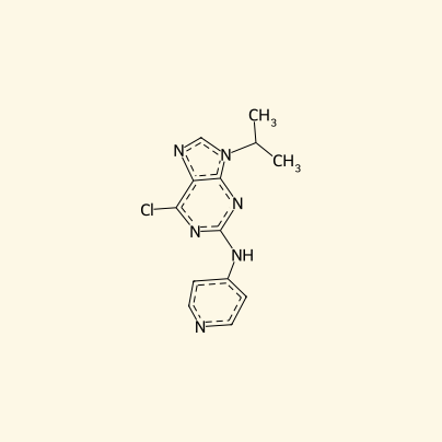 CC(C)n1cnc2c(Cl)nc(Nc3ccncc3)nc21